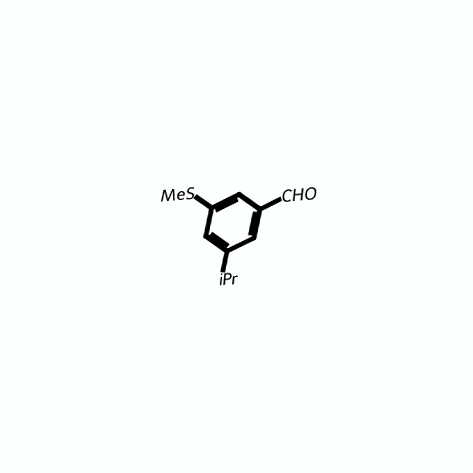 CSc1cc(C=O)cc(C(C)C)c1